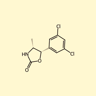 C[C@H]1NC(=O)O[C@H]1c1cc(Cl)cc(Cl)c1